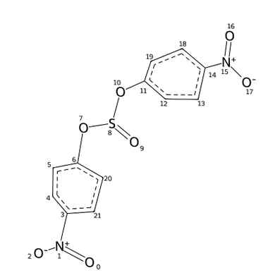 O=[N+]([O-])c1ccc(OS(=O)Oc2ccc([N+](=O)[O-])cc2)cc1